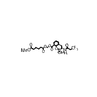 COC(=O)CCCCC(=O)OCOC(=O)c1cccc2c1OB(O)[C@@H](NC(=O)CC(F)(F)F)C2